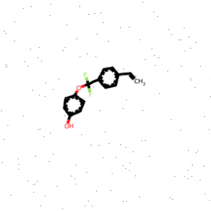 C=Cc1ccc(C(F)(F)Oc2ccc(O)cc2)cc1